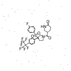 O=C1CCC(C(=O)N2CC[C@](c3ccc(C(F)(C(F)(F)F)C(F)(F)F)cc3)(S(=O)(=O)c3ccc(F)cc3)C2)CN1